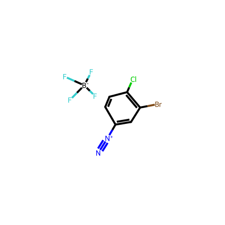 F[B-](F)(F)F.N#[N+]c1ccc(Cl)c(Br)c1